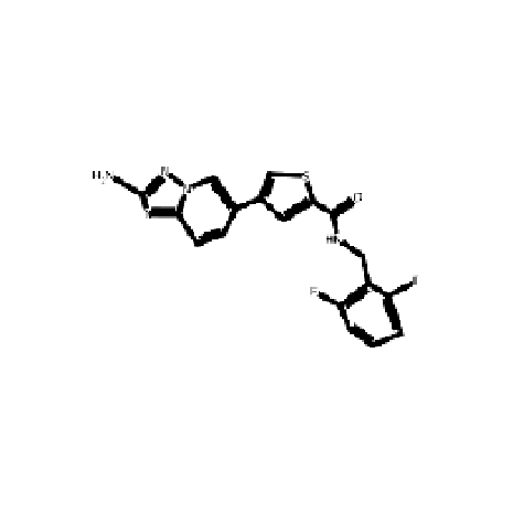 Nc1nc2ccc(-c3csc(C(=O)NCc4c(F)cccc4F)c3)cn2n1